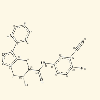 C[C@@H]1Cc2noc(-c3ncccn3)c2CN1C(=O)Nc1ccc(F)c(C#N)c1